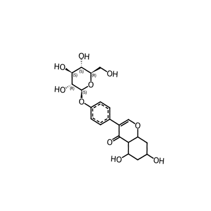 O=C1C(c2ccc(O[C@@H]3O[C@H](CO)[C@@H](O)[C@H](O)[C@H]3O)cc2)=COC2CC(O)CC(O)C12